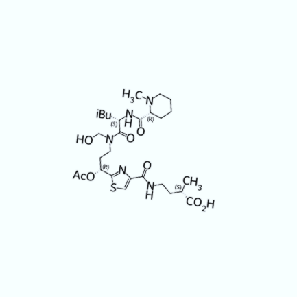 CCC(C)[C@H](NC(=O)[C@H]1CCCCN1C)C(=O)N(CO)CC[C@@H](OC(C)=O)c1nc(C(=O)NCC[C@H](C)C(=O)O)cs1